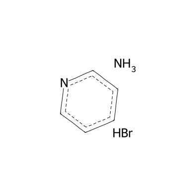 Br.N.c1ccncc1